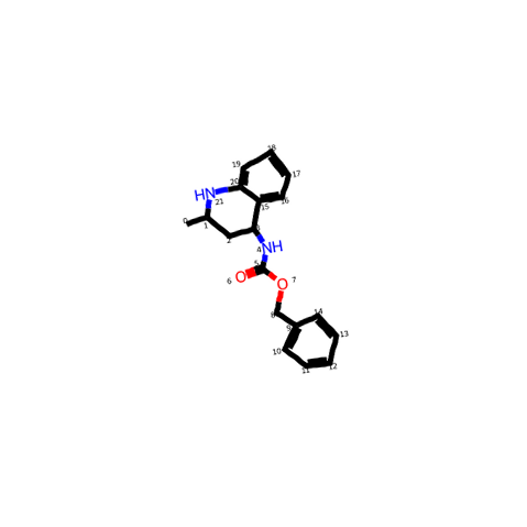 CC1CC(NC(=O)OCc2ccccc2)c2ccccc2N1